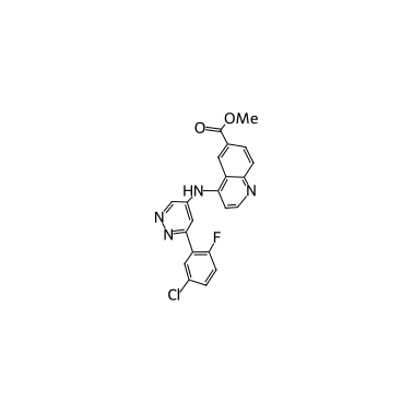 COC(=O)c1ccc2nccc(Nc3cnnc(-c4cc(Cl)ccc4F)c3)c2c1